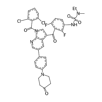 CCN(C)S(=O)(=O)Nc1ccc(F)c(C(=O)c2cn(C(=O)c3c(Cl)cccc3Cl)c3ncc(-c4ccc(N5CCC(=O)CC5)cc4)cc23)c1F